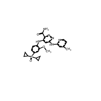 COc1cc(P(=O)(C2CC2)C2CC2)ccc1Nc1cc(Nc2cc(C)ccn2)nnc1C(N)=O